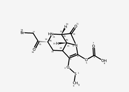 CSOC1=C(OC(=O)O)N2C(=O)[C@H]3N[C@@H](C(=O)CBr)CC1[C@H]32